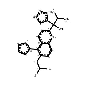 CC(C)C(O)(c1c[nH]nn1)c1ccc2c(-c3cccs3)c(OC(F)F)ccc2n1